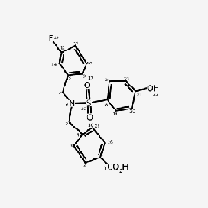 O=C(O)c1ccc(CN(Cc2cccc(F)c2)S(=O)(=O)c2ccc(O)cc2)cc1